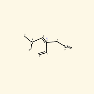 C=C/C(=C\N(C)C)CNC